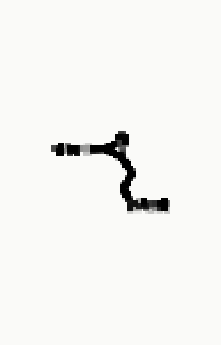 CCCCCCCC1OC1CCCCC